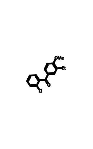 CCc1cc(C(=O)c2ccccc2Cl)ccc1OC